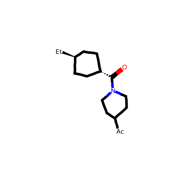 CC[C@H]1CC[C@H](C(=O)N2CCC(C(C)=O)CC2)CC1